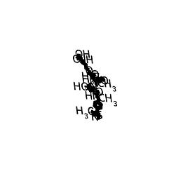 Cc1ncsc1-c1ccc(C(C)NC(=O)[C@@H]2C[C@@H](O)CN2CC(NC(=O)COCCCNC(=O)O)C(C)(C)C=O)cc1